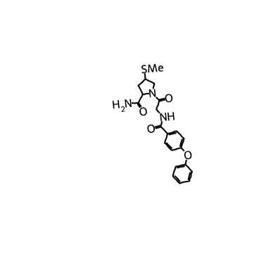 CSC1CC(C(N)=O)N(C(=O)CNC(=O)c2ccc(Oc3ccccc3)cc2)C1